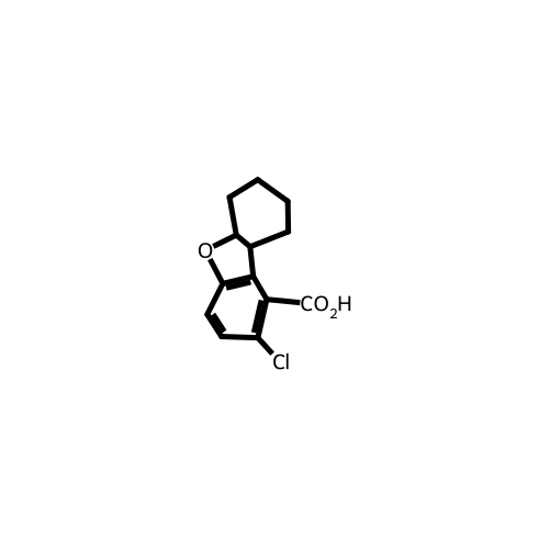 O=C(O)c1c(Cl)ccc2c1C1CCCCC1O2